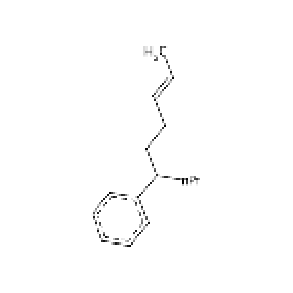 CC=CCCC(CCC)c1ccccc1